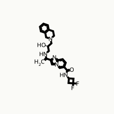 C=C(NC[C@H](O)CN1CCc2ccccc2C1)c1cn2cc(C(=O)NC3CC(F)(F)C3)ccc2n1